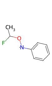 CC(F)O[N]c1ccccc1